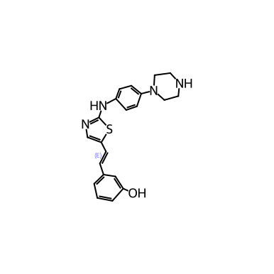 Oc1cccc(/C=C/c2cnc(Nc3ccc(N4CCNCC4)cc3)s2)c1